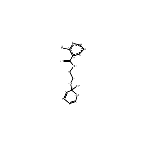 O=C(OCCOC1(Cl)C=CC=CN1)c1cccnc1Cl